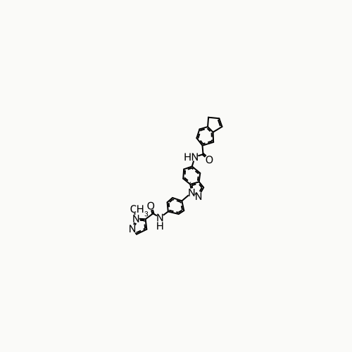 Cn1nccc1C(=O)Nc1ccc(-n2ncc3cc(NC(=O)c4ccc5c(c4)C=CC5)ccc32)cc1